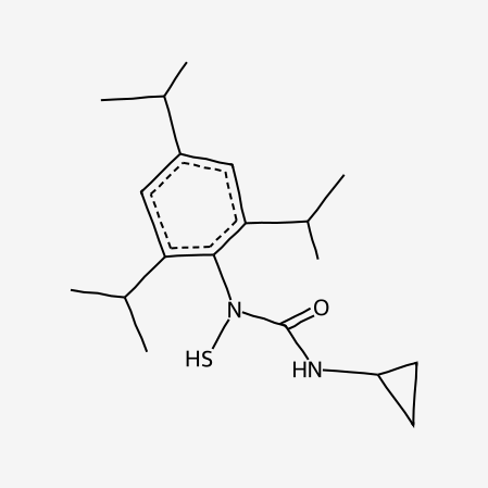 CC(C)c1cc(C(C)C)c(N(S)C(=O)NC2CC2)c(C(C)C)c1